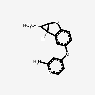 Nc1cc(Oc2ccc3c(c2)[C@@H]2C(O3)[C@H]2C(=O)O)ccn1